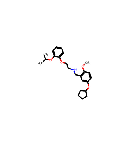 COc1ccc(OC2CCCC2)cc1CNCCOc1ccccc1OC(C)C